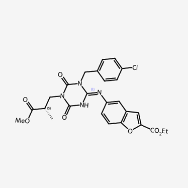 CCOC(=O)c1cc2cc(/N=c3\[nH]c(=O)n(C[C@H](C)C(=O)OC)c(=O)n3Cc3ccc(Cl)cc3)ccc2o1